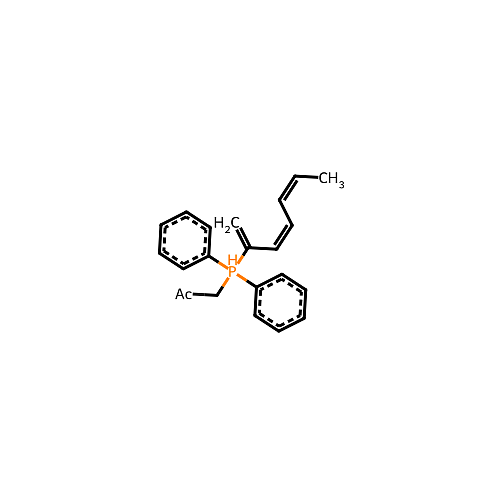 C=C(/C=C\C=C/C)[PH](CC(C)=O)(c1ccccc1)c1ccccc1